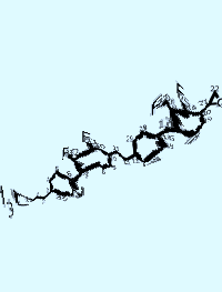 CCCc1ccc(-c2ccc(CCc3ccc(-c4ccc(C5CO5)c(F)c4F)cc3)c(F)c2F)nc1